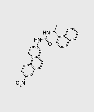 CC(NC(=O)Nc1ccc2c(ccc3cc([N+](=O)[O-])ccc32)c1)c1cccc2ccccc12